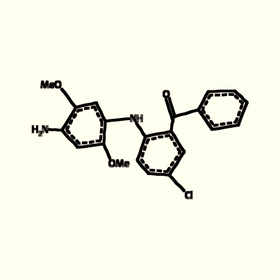 COc1cc(Nc2ccc(Cl)cc2C(=O)c2ccccc2)c(OC)cc1N